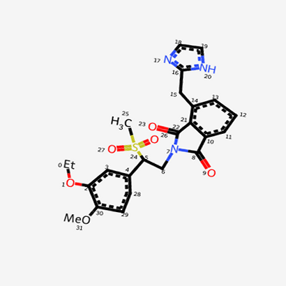 CCOc1cc(C(CN2C(=O)c3cccc(Cc4ncc[nH]4)c3C2=O)S(C)(=O)=O)ccc1OC